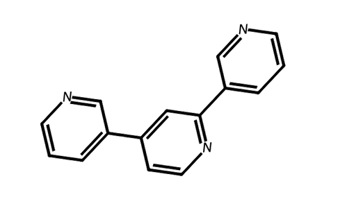 c1cncc(-c2ccnc(-c3cccnc3)c2)c1